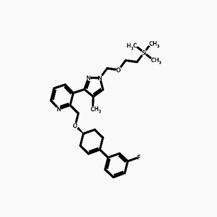 Cc1cn(COCC[Si](C)(C)C)nc1-c1cccnc1CO[C@@H]1CC=C(c2cccc(F)c2)CC1